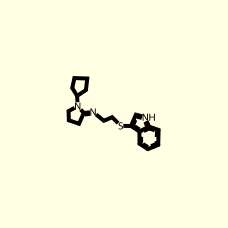 c1ccc2c(SCC/N=C3\CCCN3C3CCCC3)c[nH]c2c1